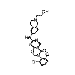 O=C1c2cnc(Nc3ccc4c(c3)CCN(CCO)C4)nc2OCN1c1c(Cl)cccc1Cl